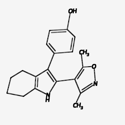 Cc1noc(C)c1-c1[nH]c2c(c1-c1ccc(O)cc1)CCCC2